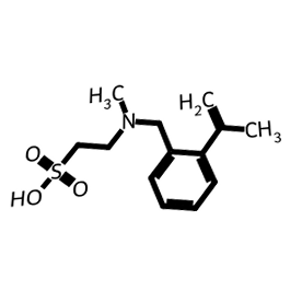 C=C(C)c1ccccc1CN(C)CCS(=O)(=O)O